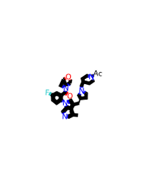 CC(=O)N1CCC(CN2CC[C@@H](Cc3cn(-c4ccc(F)cc4C(=O)N4CC5CC4CO5)c4cncc(C)c34)C2)CC1